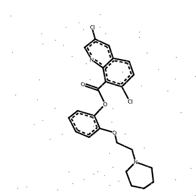 O=C(Oc1ccccc1OCCN1CCCCC1)c1c(Cl)ccc2cc(Cl)cnc12